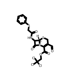 O=CC1=C(C(=O)OCC(Cl)(Cl)Cl)N2C(=O)C(NC(=O)CSc3ccccc3)[C@@H]2SC1